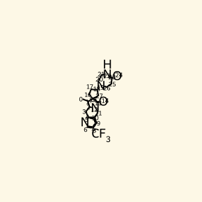 CC1C2Cc3ncc(C(F)(F)F)cc3CN2C(=O)[C@]12CCC(N1CCNC(=O)CC1)C2